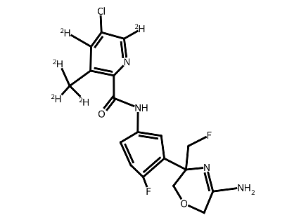 [2H]c1nc(C(=O)Nc2ccc(F)c(C3(CF)COCC(N)=N3)c2)c(C([2H])([2H])[2H])c([2H])c1Cl